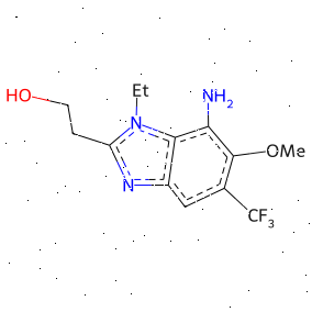 CCn1c(CCO)nc2cc(C(F)(F)F)c(OC)c(N)c21